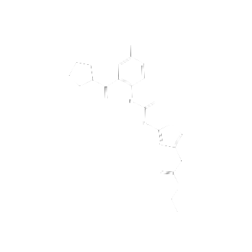 CCOC(=O)Cc1csc(NC(=O)Nc2ccc(F)cc2C(=O)C2CCCC2)n1